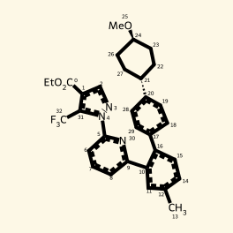 CCOC(=O)c1cnn(-c2cccc(-c3cc(C)ccc3-c3ccc([C@H]4CC[C@H](OC)CC4)cc3)n2)c1C(F)(F)F